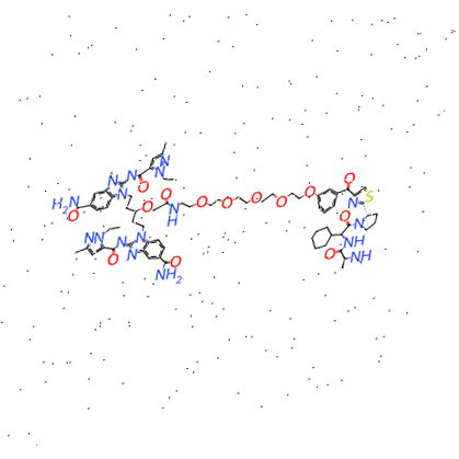 CCn1nc(C)cc1C(=O)N=c1n(C)c2cc(C(N)=O)ccc2n1CCC(CCn1c(=NC(=O)c2cc(C)nn2CC)n(C)c2cc(C(N)=O)ccc21)OCC(=O)NCCOCCOCCOCCOCCOc1cccc(C(=O)c2csc([C@@H]3CCCN3C(=O)[C@@H](NC(=O)[C@H](C)NC)C3CCCCC3)n2)c1